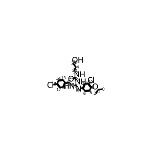 CC(C)Oc1ccc(/N=C(/NCc2ccc(Cl)cc2)NC(=O)NCCCO)cc1Cl